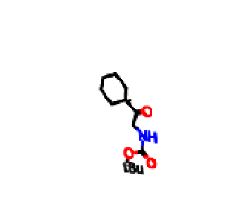 CC(C)(C)OC(=O)NCC(=O)[C]1CCCCC1